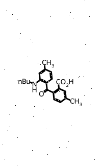 CCCCNc1cc(C)ccc1C(=O)c1ccc(C)cc1C(=O)O